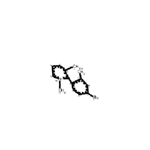 CCC(C)c1ccc(-c2c(C)ccc[n+]2C)c(C)c1